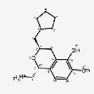 NC[C@@H]1O[C@@H](CC2CCCC2)Cc2c1ccc(O)c2O